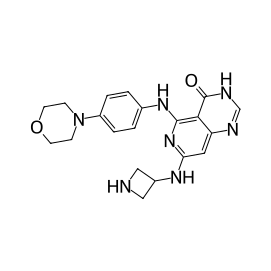 O=c1[nH]cnc2cc(NC3CNC3)nc(Nc3ccc(N4CCOCC4)cc3)c12